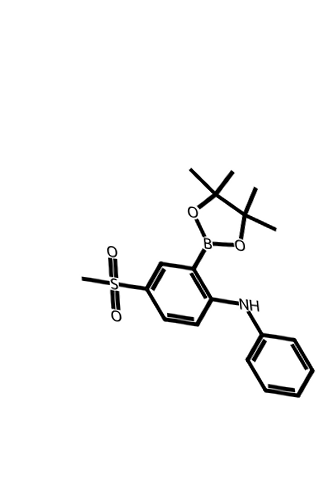 CC1(C)OB(c2cc(S(C)(=O)=O)ccc2Nc2ccccc2)OC1(C)C